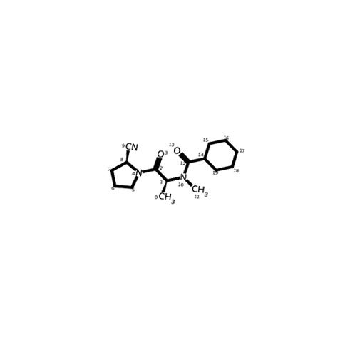 C[C@@H](C(=O)N1CCC[C@H]1C#N)N(C)C(=O)C1CCCCC1